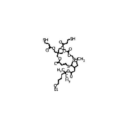 CCOCCCCC(C)(C)OC(=O)CC1CC(C)CC1SCCC(=O)OCC(COC(=O)CCS)(COC(=O)CCS)COC(=O)OCS